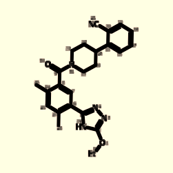 CCOc1nnc(-c2cc(C(=O)N3CCC(c4ccccc4C#N)CC3)c(C)cc2C)[nH]1